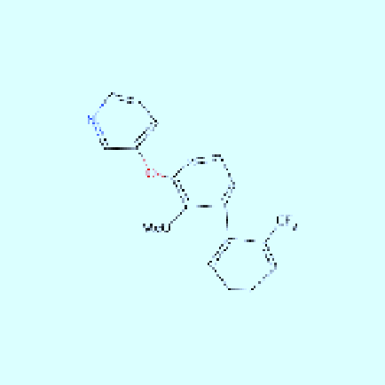 COc1c(Oc2cccnc2)[c]ccc1-c1ccccc1C(F)(F)F